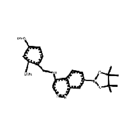 COc1ccc(CNc2cnnc3cc(B4OC(C)(C)C(C)(C)O4)ccc23)c(OC)c1